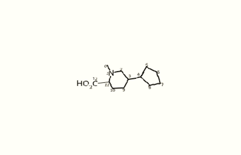 CN1CC(C2CCCC2)CCC1C(=O)O